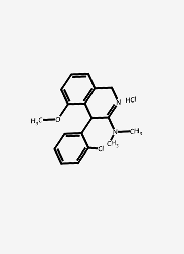 COc1cccc2c1C(c1ccccc1Cl)C(N(C)C)=NC2.Cl